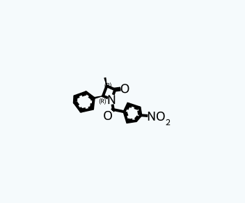 C[C@H]1C(=O)N(C(=O)c2ccc([N+](=O)[O-])cc2)[C@H]1c1ccccc1